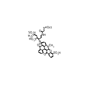 CCCCCCCCSCC(=O)N/C=C/C(Nc1ccc2c3c1C(=O)c1ccccc1-c3c(C(=O)c1cccc(S(=O)(=O)O)c1)c(=O)n2C)=C(\C=C(/C)S(=O)(=O)O)S(=O)(=O)O